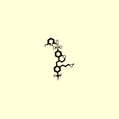 COCCCc1cc(C(F)(F)F)ccc1CC1CCOc2cc(S(=O)(=O)Nc3cccc(F)n3)ccc21